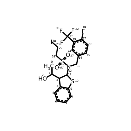 CC(O)C1c2ccccc2SC1N(Cc1ccc(F)c(C(F)(F)F)c1)S(=O)(=O)CCI